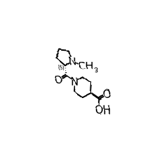 CN1CCC[C@H]1C(=O)N1CCC(C(=O)O)CC1